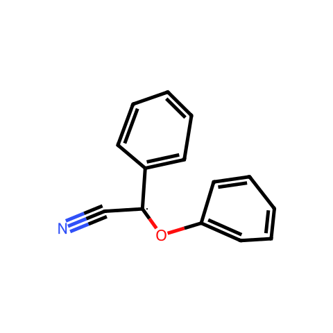 N#C[C](Oc1ccccc1)c1ccccc1